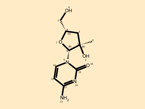 C[C@@]1(O)C[C@@H](CO)O[C@H]1n1ccc(N)nc1=O